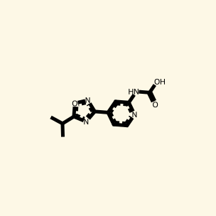 CC(C)c1nc(-c2ccnc(NC(=O)O)c2)no1